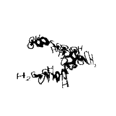 C=CCOC(=O)CNCc1ccc([C@H]2C[C@H](N3CC/C(=C(\C(=O)OCC=C)C4=C(C(=O)O)N5C(=O)[C@@H](NC(=O)CSc6ccc7cc(C(=O)O)ccc7c6)[C@H]5SC4)C3=O)CN2)cc1